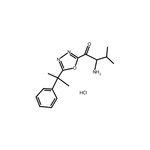 CC(C)C(N)C(=O)c1nnc(C(C)(C)c2ccccc2)o1.Cl